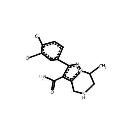 CC1CNCc2c(C(N)=O)c(-c3ccc(Cl)c(Cl)c3)nn21